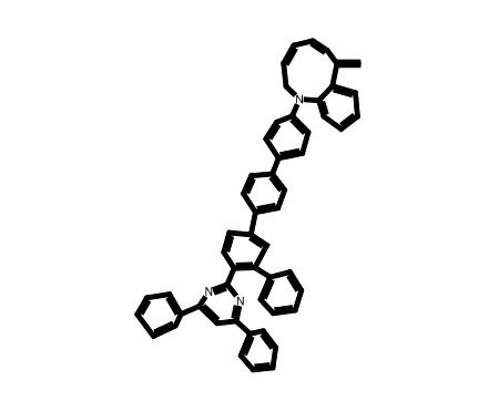 C=C1/C=C\C=C/CN(c2ccc(-c3ccc(-c4ccc(-c5nc(-c6ccccc6)cc(-c6ccccc6)n5)c(-c5ccccc5)c4)cc3)cc2)c2ccccc21